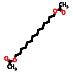 CC(=O)OCCCCCCCCCCCCCCOC(C)=O